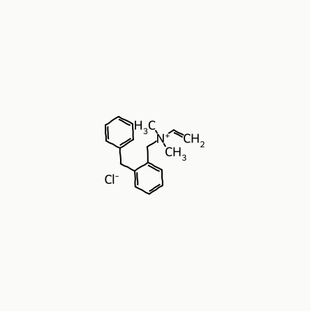 C=C[N+](C)(C)Cc1ccccc1Cc1ccccc1.[Cl-]